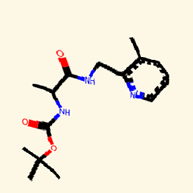 Cc1cccnc1CNC(=O)C(C)NC(=O)OC(C)(C)C